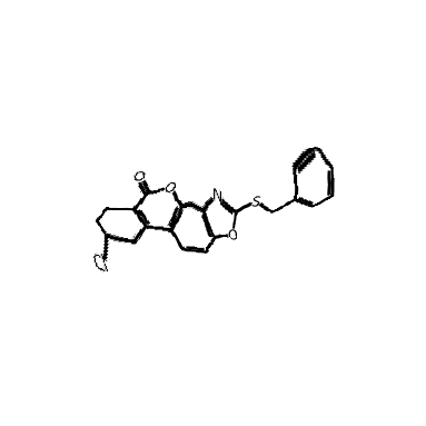 O=c1oc2c(ccc3oc(SCc4ccccc4)nc32)c2c1CCC(Cl)C2